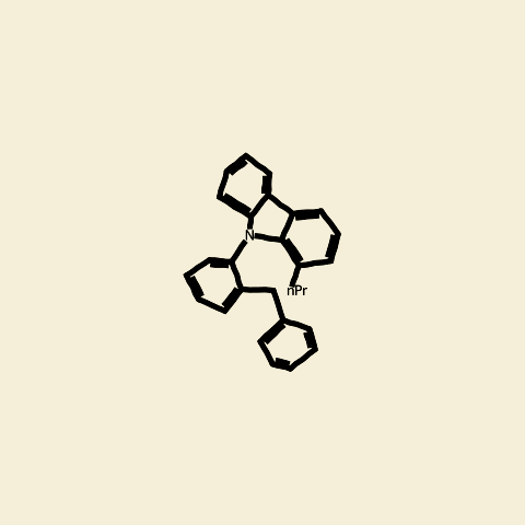 CCCc1cccc2c3ccccc3n(-c3ccccc3Cc3ccccc3)c12